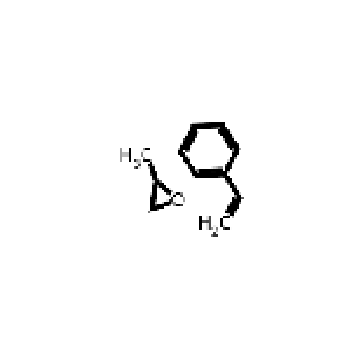 C=Cc1ccccc1.CC1CO1